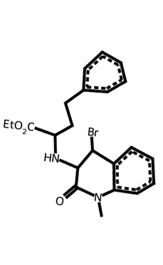 CCOC(=O)C(CCc1ccccc1)NC1C(=O)N(C)c2ccccc2C1Br